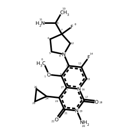 COc1c(N2CCC(F)(C(C)N)C2)c(F)cn2c(=O)n(N)c(=O)c(C3CC3)c12